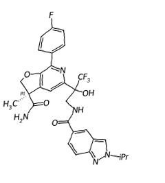 CC(C)n1cc2cc(C(=O)NCC(O)(c3cc4c(c(-c5ccc(F)cc5)n3)OC[C@]4(C)C(N)=O)C(F)(F)F)ccc2n1